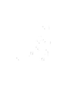 CN1CCC[C@H]1COc1nc(N2CCN(C(=O)/C(F)=C/c3ccccn3)[C@@H](CC#N)C2)c2cnc(-c3cccc4cccc(Cl)c34)c(F)c2n1